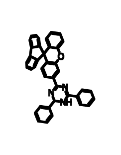 c1ccc(C2=NC(c3ccc4c(c3)Oc3ccccc3C43c4ccccc4-c4ccccc43)=NC(c3ccccc3)N2)cc1